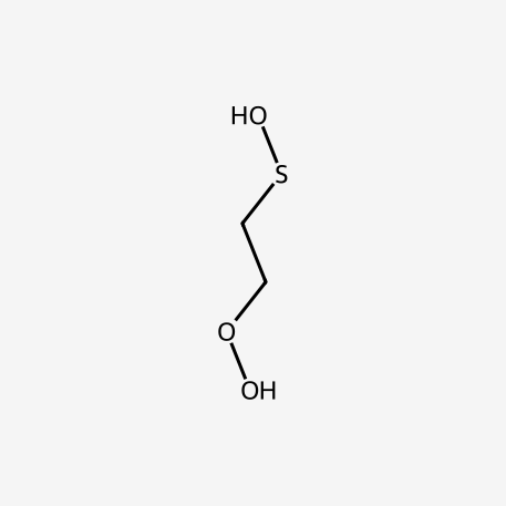 OOCCSO